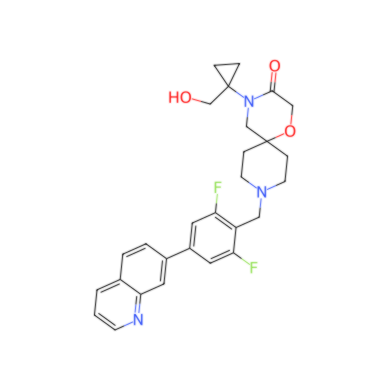 O=C1COC2(CCN(Cc3c(F)cc(-c4ccc5cccnc5c4)cc3F)CC2)CN1C1(CO)CC1